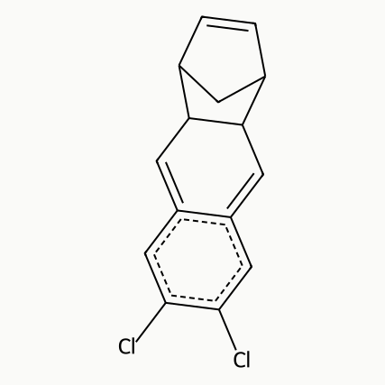 Clc1cc2c(cc1Cl)=CC1C3C=CC(C3)C1C=2